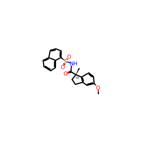 COc1ccc2c(c1)CC[C@]2(C)C(=O)NS(=O)(=O)c1cccc2ccccc12